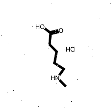 CNCCCCC(=O)O.Cl